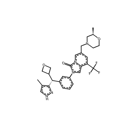 Cc1c[nH]nc1[C@@H](c1cccc(-n2cc3c(C(F)(F)F)cc(CN4CCO[C@H](C)C4)cn3c2=O)c1)C1COC1